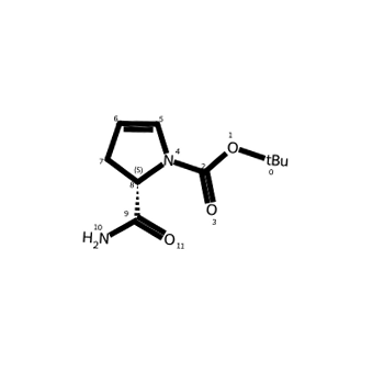 CC(C)(C)OC(=O)N1C=CC[C@H]1C(N)=O